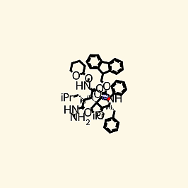 CC(C)C[C@@H](C(=O)NN)[C@H](C(=O)NOC1CCCCO1)C(/C=C/c1ccccc1)(CC(C)C)C(=O)[C@@H](Cc1ccccc1)NC(=O)OCC1c2ccccc2-c2ccccc21